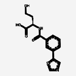 O=C(N[C@@H](CCO)C(=O)O)c1cccc(-c2cncs2)c1